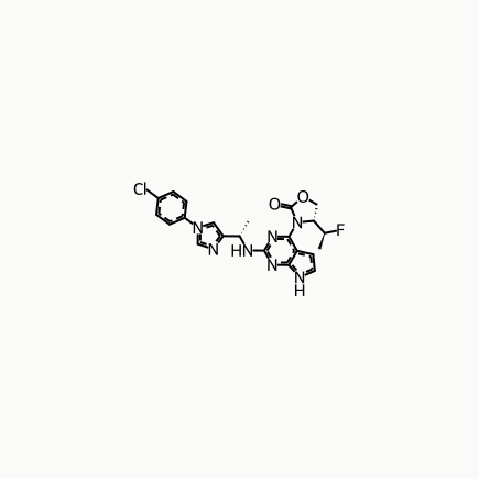 C[C@H](Nc1nc(N2C(=O)OC[C@@H]2[C@H](C)F)c2cc[nH]c2n1)c1cn(-c2ccc(Cl)cc2)cn1